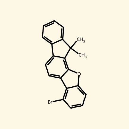 CC1(C)c2ccccc2-c2ccc3c(oc4cccc(Br)c43)c21